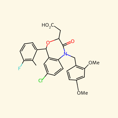 COc1ccc(CN2C(=O)C(CC(=O)O)OC(c3cccc(F)c3C)c3cc(Cl)ccc32)c(OC)c1